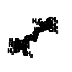 CC[C@H](C)C(NC(=O)OC)C(=O)N1C[C@@H](C)C[C@H]1c1ncc(-c2ccc3c(c2)COc2cc4c(ccc5nc([C@@H]6C[C@H](COC)CN6C(O)C(NC(=O)OC)[C@@H](C)OC)[nH]c54)cc2-3)[nH]1